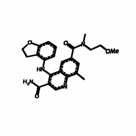 COCCN(C)C(=O)c1cc(C)c2ncc(C(N)=O)c(Nc3cccc4c3CCO4)c2c1